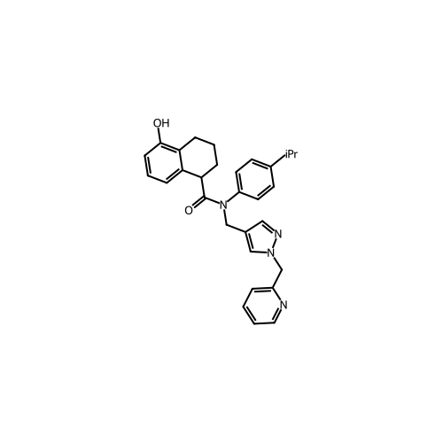 CC(C)c1ccc(N(Cc2cnn(Cc3ccccn3)c2)C(=O)C2CCCc3c(O)cccc32)cc1